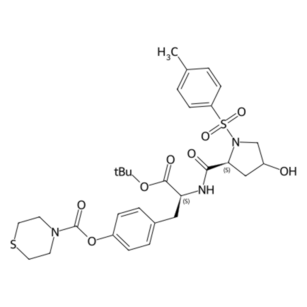 Cc1ccc(S(=O)(=O)N2CC(O)C[C@H]2C(=O)N[C@@H](Cc2ccc(OC(=O)N3CCSCC3)cc2)C(=O)OC(C)(C)C)cc1